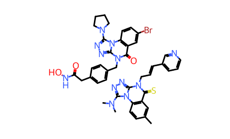 Cc1ccc2c(c1)c(=S)n(CC=Cc1cccnc1)c1nnc(N(C)C)n21.O=C(Cc1ccc(Cn2c(=O)c3cc(Br)ccc3n3c(N4CCCC4)nnc23)cc1)NO